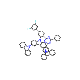 Fc1cc(F)cc(-c2ccc(-c3nc(-c4ccccc4)nc(-c4ccccc4)n3)c(-n3c4ccc(-n5c6ccccc6c6ccccc65)cc4c4cc(-n5c6ccccc6c6ccccc65)ccc43)c2)c1